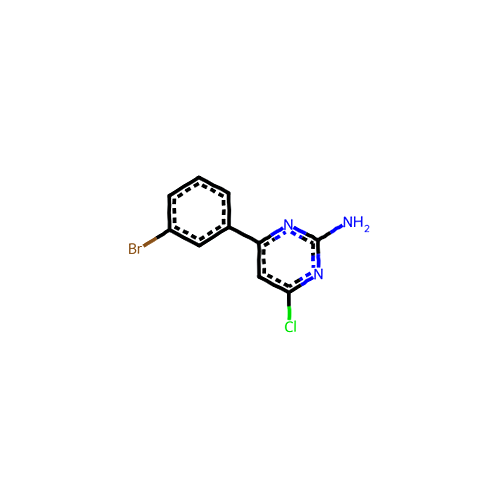 Nc1nc(Cl)cc(-c2cccc(Br)c2)n1